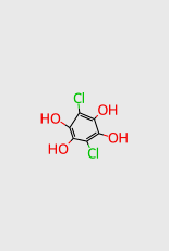 Oc1c(O)c(Cl)c(O)c(O)c1Cl